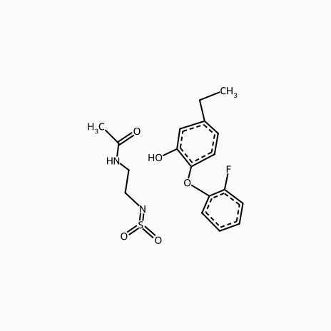 CC(=O)NCCN=S(=O)=O.CCc1ccc(Oc2ccccc2F)c(O)c1